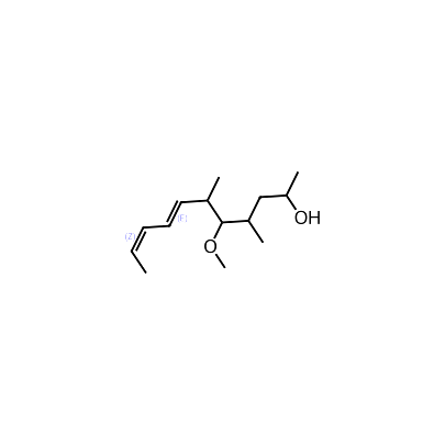 C/C=C\C=C\C(C)C(OC)C(C)CC(C)O